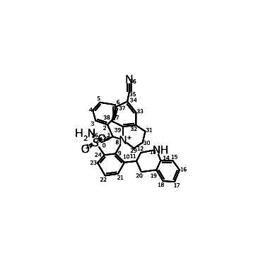 CC(c1ccccc1)[N+]1(c2c(C3CNc4ccccc4C3)cccc2S(N)(=O)=O)CCCc2cc(C#N)ccc21